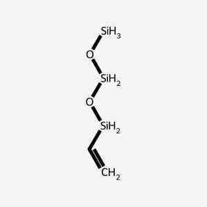 C=C[SiH2]O[SiH2]O[SiH3]